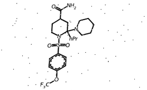 CCCC1(N2CCCCC2)CC(C(N)=O)CCN1S(=O)(=O)c1ccc(OC(F)(F)F)cc1